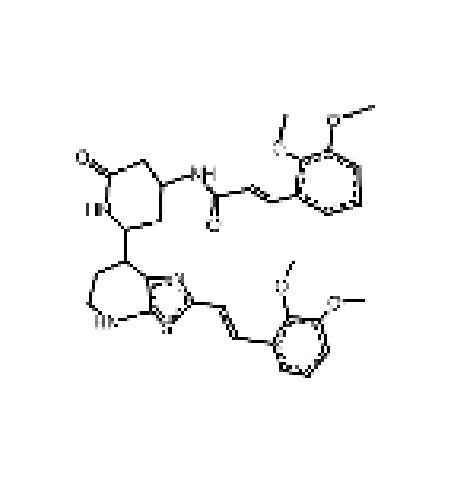 COc1cccc(C=CC(=O)NC2CC(=O)NC(C3CCNc4sc(C=Cc5cccc(OC)c5OC)nc43)C2)c1OC